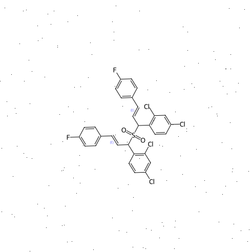 O=S(=O)(C(/C=C/c1ccc(F)cc1)c1ccc(Cl)cc1Cl)C(/C=C/c1ccc(F)cc1)c1ccc(Cl)cc1Cl